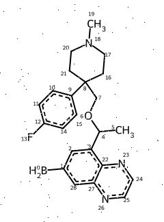 Bc1cc(C(C)OCC2(c3ccc(F)cc3)CCN(C)CC2)c2nccnc2c1